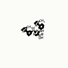 Cn1ccnc1-c1cccc(Nc2ncc([N+](=O)O)c(Nc3cccc(-c4nccn4C)c3)n2)c1